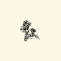 CCNc1nc(Nc2ccc(-c3c(N=Nc4ccccc4C#N)sc(N=Nc4c(Nc5ccc(S(=O)(=O)O)cc5)nc(Nc5ccc(S(=O)(=O)O)cc5)c(C#N)c4C)c3C#N)cc2)nc(Nc2ccccc2S(=O)(=O)O)n1